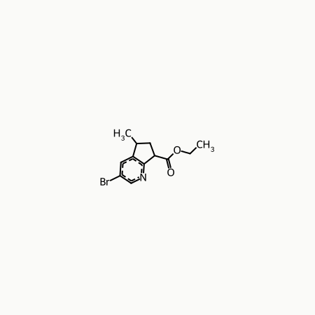 CCOC(=O)C1CC(C)c2cc(Br)cnc21